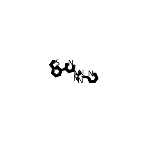 c1ccc(-c2nnn(-c3cncc(-c4cccc5ccsc45)c3)n2)nc1